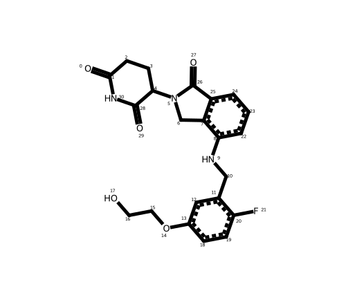 O=C1CCC(N2Cc3c(NCc4cc(OCCO)ccc4F)cccc3C2=O)C(=O)N1